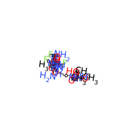 COc1ccc(C[C@H](NC(=O)C[C@@H](C)O)C(=O)N2CCC[C@@]2(C)C(=O)NCCc2ccc(CCCCCCC(=O)N[C@@H](CCCCN)C(=O)N[C@H](C)C(=O)N[C@@H](Cc3c[nH]c4ccc(F)cc34)C(=O)N[C@@H](Cc3c[nH]c4ccc(F)cc34)C(=O)N3C[C@@H](F)C[C@H]3C(N)=O)cc2)cc1